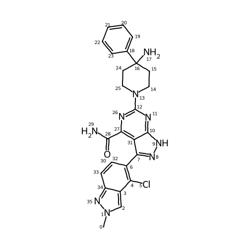 Cn1cc2c(Cl)c(-c3n[nH]c4nc(N5CCC(N)(c6ccccc6)CC5)nc(C(N)=O)c34)ccc2n1